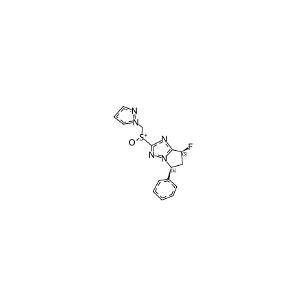 [O-][S+](Cn1cccn1)c1nc2n(n1)[C@H](c1ccccc1)C[C@@H]2F